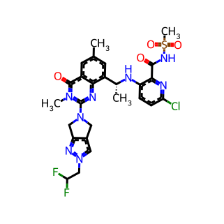 Cc1cc([C@@H](C)Nc2ccc(Cl)nc2C(=O)NS(C)(=O)=O)c2nc(N3Cc4cn(CC(F)F)nc4C3)n(C)c(=O)c2c1